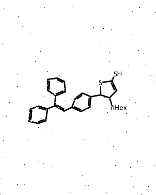 CCCCCCC1C=C(S)SC1c1ccc(C=C(c2ccccc2)c2ccccc2)cc1